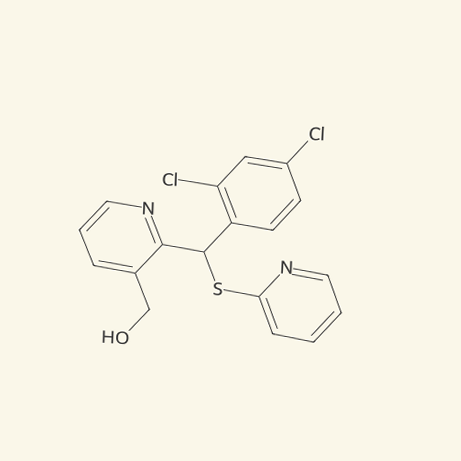 OCc1cccnc1C(Sc1ccccn1)c1ccc(Cl)cc1Cl